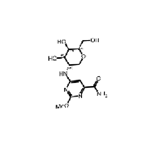 COc1nc(N[C@H]2CO[C@H](CO)[C@H](O)[C@@H]2O)cc(C(N)=O)n1